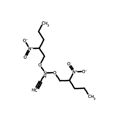 C#C[SiH](OCC(CCC)[N+](=O)[O-])OCC(CCC)[N+](=O)[O-]